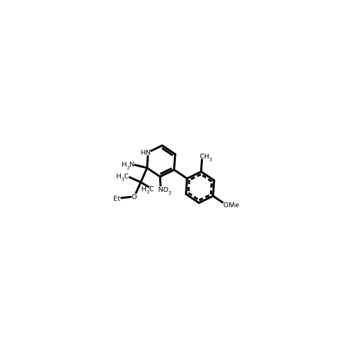 CCOC(C)(C)C1(N)NC=CC(c2ccc(OC)cc2C)=C1[N+](=O)[O-]